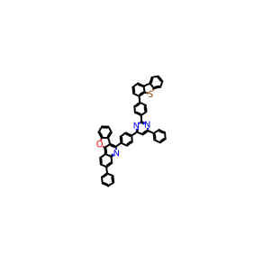 c1ccc(-c2ccc3c(c2)nc(-c2ccc(-c4cc(-c5ccccc5)nc(-c5ccc(-c6cccc7c6sc6ccccc67)cc5)n4)cc2)c2c4ccccc4oc32)cc1